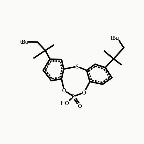 CC(C)(C)CC(C)(C)c1ccc2c(c1)Sc1cc(C(C)(C)CC(C)(C)C)ccc1OP(=O)(O)O2